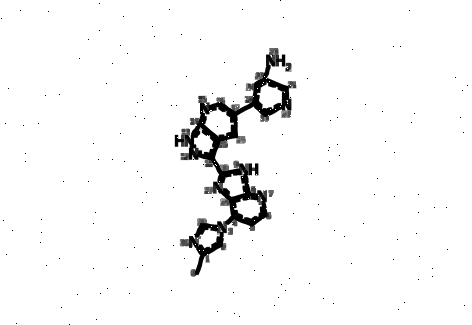 Cc1cn(-c2ccnc3[nH]c(-c4n[nH]c5ncc(-c6cncc(N)c6)cc45)nc23)cn1